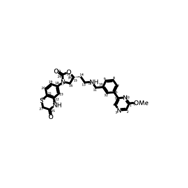 COc1cncc(-c2cccc(CNCC[C@@H]3CN(c4ccc5c(c4)NC(=O)CS5)C(=O)O3)c2)n1